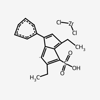 CCC1=C(S(=O)(=O)O)C2=C(CC)C=C(c3ccccc3)C2=[C]1.[Cl][Zr][Cl]